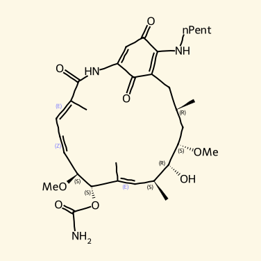 CCCCCNC1=C2C[C@@H](C)C[C@H](OC)[C@H](O)[C@@H](C)/C=C(\C)[C@H](OC(N)=O)[C@@H](OC)/C=C\C=C(/C)C(=O)NC(=CC1=O)C2=O